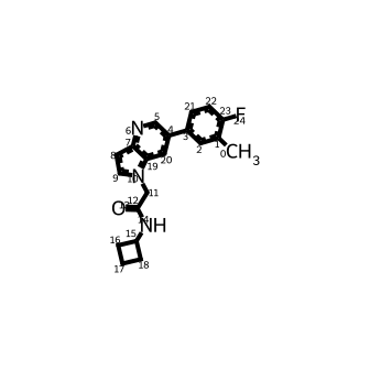 Cc1cc(-c2cnc3ccn(CC(=O)NC4CCC4)c3c2)ccc1F